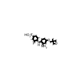 CC1(COc2ccc(Nc3ccc(C(=O)O)cc3F)c(N)c2)COC1